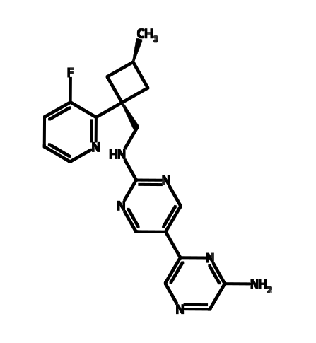 C[C@H]1C[C@](CNc2ncc(-c3cncc(N)n3)cn2)(c2ncccc2F)C1